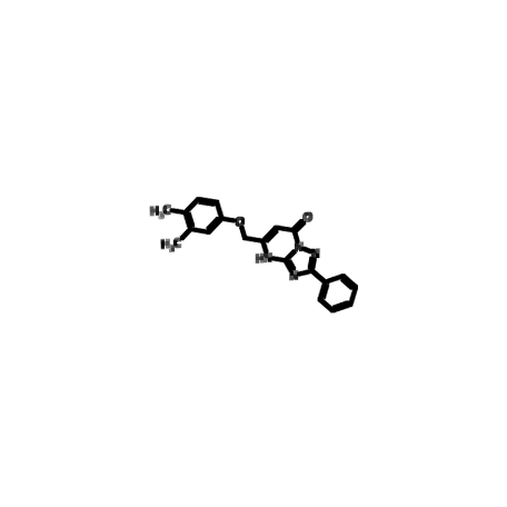 Cc1ccc(OCc2cc(=O)n3nc(-c4ccccc4)nc3[nH]2)cc1C